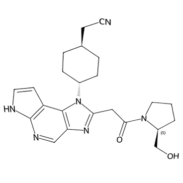 N#CC[C@H]1CC[C@H](n2c(CC(=O)N3CCC[C@H]3CO)nc3cnc4[nH]ccc4c32)CC1